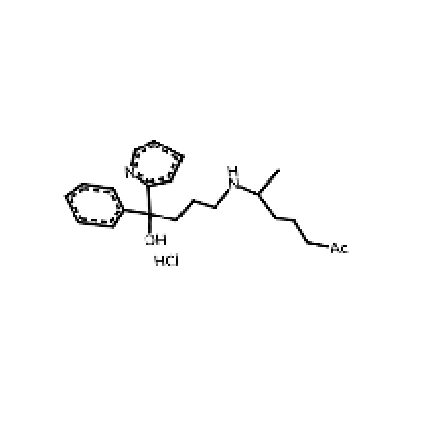 CC(=O)CCCC(C)NCCCC(O)(c1ccccc1)c1ccccn1.Cl